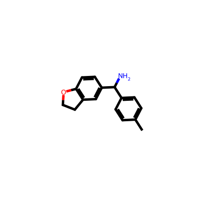 Cc1ccc(C(N)c2ccc3c(c2)CCO3)cc1